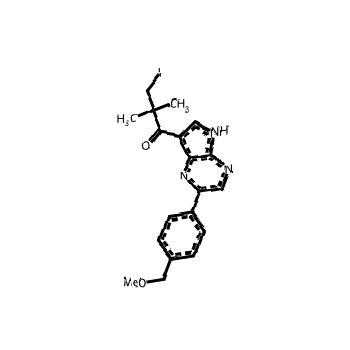 COCc1ccc(-c2cnc3[nH]cc(C(=O)C(C)(C)CI)c3n2)cc1